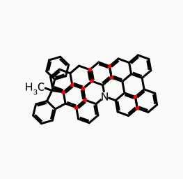 CC1(c2ccccc2)c2ccccc2-c2ccc(-c3ccccc3N(c3ccccc3C3=C4C=CC=CC4CC=C3)c3ccccc3-c3cccc4cccc(-c5ccccc5)c34)cc21